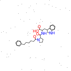 O=C(O)C(CC1CNc2ccccc21)NC(=O)C1CCCN1C(=O)CCCCCc1ccccc1